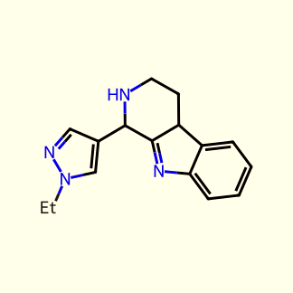 CCn1cc(C2NCCC3C2=Nc2ccccc23)cn1